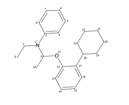 CCN(c1ccccc1)C(C)Oc1ccccc1C1CCCCC1